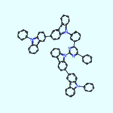 c1ccc(-c2cc(-c3cccc(-n4c5ccccc5c5cc(-c6ccc7c(c6)c6ccccc6n7-c6ccccc6)ccc54)c3)nc(-n3c4ccccc4c4ccc(-c5ccc6c(c5)c5ccccc5n6-c5ccccc5)cc43)n2)cc1